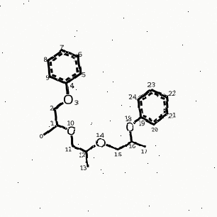 CC(COc1ccccc1)OCC(C)OCC(C)Oc1ccccc1